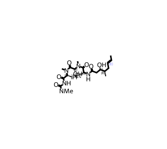 C/C=C/C[C@@H](C)[C@@H](O)CC(=O)N[C@@H](CC)C(=O)N(C)[C@H](O)C(=O)N(C)[C@H](C(=O)NC(=O)NC)C(C)C